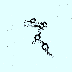 Cc1c(Cl)cccc1S(=O)(=O)Nc1nc2ccsc2nc1OCc1ccc(Cl)c(OCC2CCN(C)CC2)c1